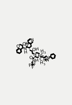 CC(C)(c1cn(-c2ccccc2)nn1)N1CCN(C[C@@H](O)C[C@@H](Cc2cccnc2)C(=O)N[C@H]2c3ccccc3OC[C@H]2O)[C@H](C(=O)NCC(F)(F)F)C1